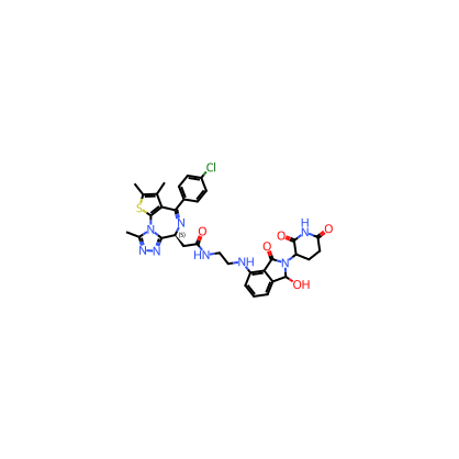 Cc1sc2c(c1C)C(c1ccc(Cl)cc1)=N[C@@H](CC(=O)NCCNc1cccc3c1C(=O)N(C1CCC(=O)NC1=O)C3O)c1nnc(C)n1-2